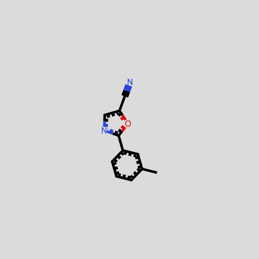 Cc1cccc(-c2ncc(C#N)o2)c1